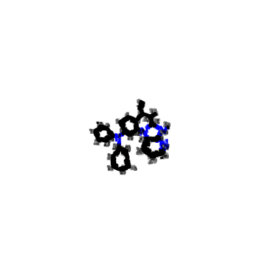 C=CC1c2ccc(N(c3ccccc3)c3ccccc3)cc2N2c3cccnc3N(C)C2C1C